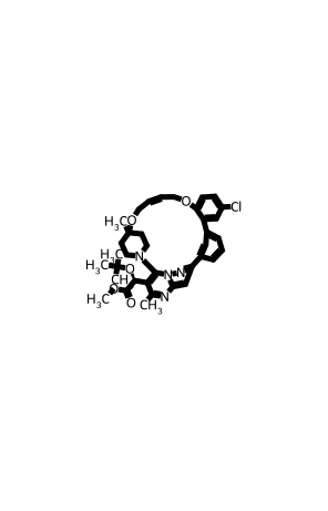 COC(=O)[C@@H](OC(C)(C)C)c1c(C)nc2cc3nn2c1N1CCC(C)(CC1)OCC=CCOc1ccc(Cl)cc1-c1cccc-3c1